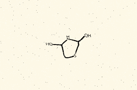 OC1[CH]SC(O)N1